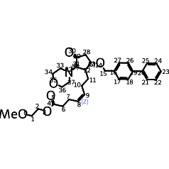 COCCOC(=O)CC/C=C\CCC1[C@@H](OCc2ccc(-c3ccccc3)cc2)CC(=O)[C@@H]1N1CCOCC1